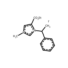 CCOC(=O)c1c[n+](C)cn1C(C)c1ccccc1.[I-]